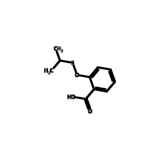 CC(C)SOc1ccccc1C(=O)O